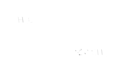 CCCCCCCCCCCCCCCCCCCn1cc[n+](CCCC)c1